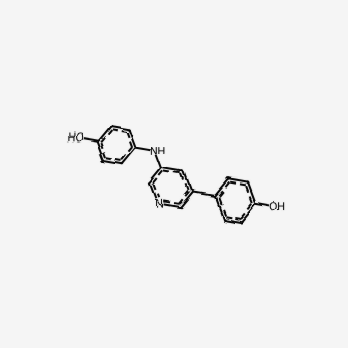 Oc1ccc(Nc2cncc(-c3ccc(O)cc3)c2)cc1